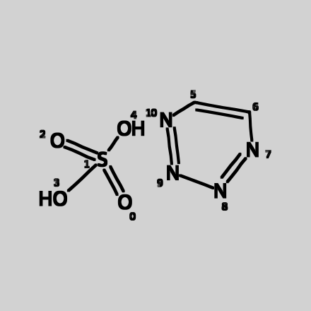 O=S(=O)(O)O.c1cnnnn1